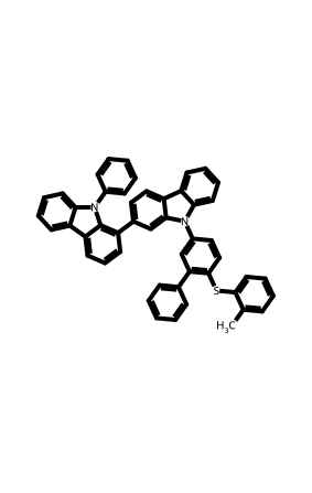 Cc1ccccc1Sc1ccc(-n2c3ccccc3c3ccc(-c4cccc5c6ccccc6n(-c6ccccc6)c45)cc32)cc1-c1ccccc1